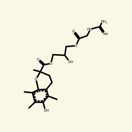 Cc1c(C)c2c(c(C)c1O)CCC(C)(C(=O)OCC(O)COC(=O)CNC(=N)N)O2